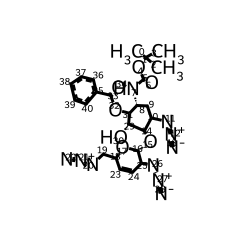 CC(C)(C)OC(=O)N[C@@H]1CC(N=[N+]=[N-])C(O[C@H]2OC(CN=[N+]=[N-])C=CC2N=[N+]=[N-])[C@H](O)C1OC(=O)c1ccccc1